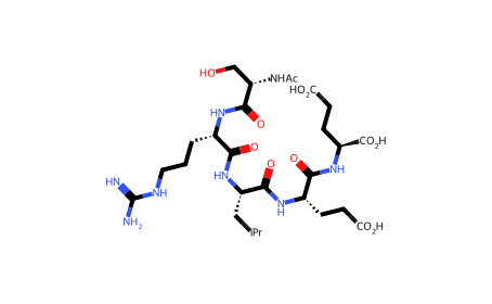 CC(=O)N[C@@H](CO)C(=O)N[C@@H](CCCNC(=N)N)C(=O)N[C@@H](CC(C)C)C(=O)N[C@@H](CCC(=O)O)C(=O)N[C@@H](CCC(=O)O)C(=O)O